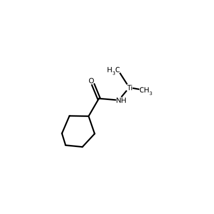 [CH3][Ti]([CH3])[NH]C(=O)C1CCCCC1